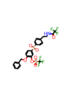 O=C(NCCc1ccc(S(=O)(=O)c2ccc(OCc3ccccc3)c(OS(=O)(=O)C(F)(F)F)c2)cc1)C(F)(F)F